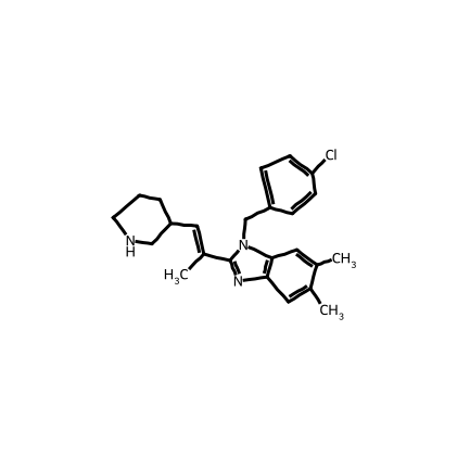 C/C(=C\C1CCCNC1)c1nc2cc(C)c(C)cc2n1Cc1ccc(Cl)cc1